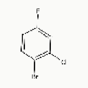 Fc1[c]c(Cl)c(Br)cc1